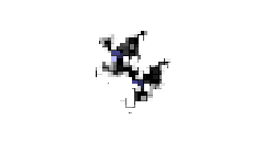 CSCC1=CN2C(=O)[C@@H](NC(=O)/C(=N\OCC(=O)[O-])c3csc(N)n3)[C@@H]2SC1.CSCC1=CN2C(=O)[C@@H](NC(=O)/C(=N\OCC(=O)[O-])c3csc(N)n3)[C@@H]2SC1.[Na+].[Na+]